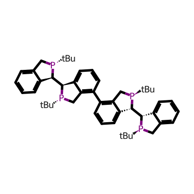 CC(C)(C)[P@]1Cc2ccccc2[C@H]1[C@@H]1c2cccc(-c3cccc4c3C[P@](C(C)(C)C)[C@H]4[C@H]3c4ccccc4C[P@]3C(C)(C)C)c2C[P@@]1C(C)(C)C